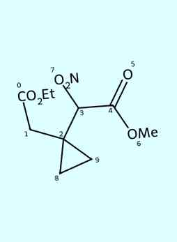 CCOC(=O)CC1(C(C(=O)OC)[N+](=O)[O-])CC1